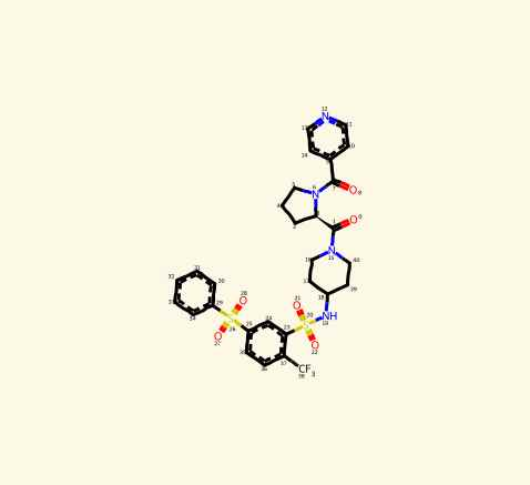 O=C([C@H]1CCCN1C(=O)c1ccncc1)N1CCC(NS(=O)(=O)c2cc(S(=O)(=O)c3ccccc3)ccc2C(F)(F)F)CC1